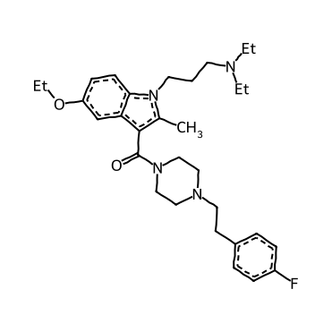 CCOc1ccc2c(c1)c(C(=O)N1CCN(CCc3ccc(F)cc3)CC1)c(C)n2CCCN(CC)CC